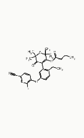 CCCC(=O)OC1=C(c2cc(Oc3ccc(C#N)cc3F)ccc2CC)C(=O)C(C)(C)OC1(C)C